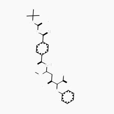 COC(CC(=O)C(Oc1ccccc1)C(=O)O)NC(=O)c1ccc(C(=N)NC(=O)OC(C)(C)C)cc1